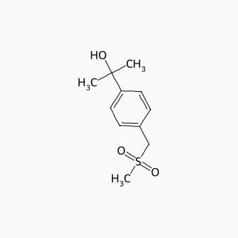 CC(C)(O)c1ccc(CS(C)(=O)=O)cc1